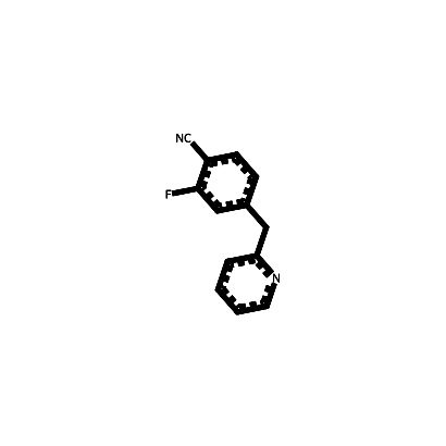 N#Cc1ccc(Cc2ccccn2)cc1F